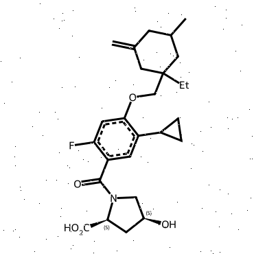 C=C1CC(C)CC(CC)(COc2cc(F)c(C(=O)N3C[C@@H](O)C[C@H]3C(=O)O)cc2C2CC2)C1